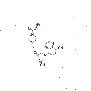 C[C@H]1C[C@@H](OCCN2CCN(C(=O)OC(C)(C)C)CC2)CN(c2ccc(C#N)c3nccnc23)C1